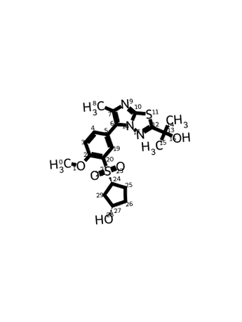 COc1ccc(-c2c(C)nc3sc(C(C)(C)O)nn23)cc1S(=O)(=O)[C@@H]1CC[C@H](O)C1